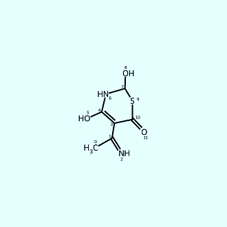 CC(=N)C1=C(O)NC(O)SC1=O